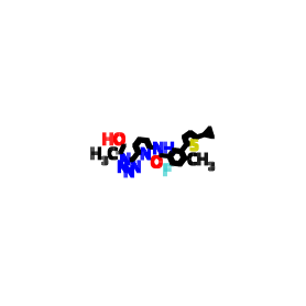 Cc1cc(F)c(C(=O)Nc2cccc(-c3nnnn3[C@H](C)CO)n2)cc1-c1ccc(C2CC2)s1